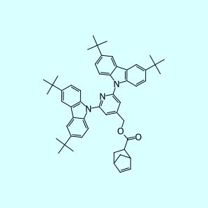 CC(C)(C)c1ccc2c(c1)c1cc(C(C)(C)C)ccc1n2-c1cc(COC(=O)C2CC3C=CC2C3)cc(-n2c3ccc(C(C)(C)C)cc3c3cc(C(C)(C)C)ccc32)n1